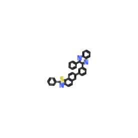 c1ccc(-c2nc3ccc4cc(-c5cccc(-c6nc7ccccc7nc6-c6ccccc6)c5)ccc4c3s2)cc1